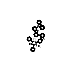 CN1C(c2ccccc2)NC(c2ccccc2)NC1c1ccc2sc3cccc(-c4cccc5c4oc4c(-n6c7ccccc7c7ccccc76)cccc45)c3c2c1